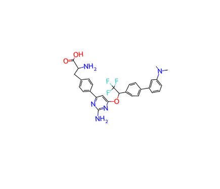 CN(C)c1cccc(-c2ccc(C(Oc3cc(-c4ccc(CC(N)C(=O)O)cc4)nc(N)n3)C(F)(F)F)cc2)c1